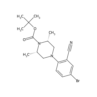 C[C@@H]1CN(c2ccc(Br)cc2C#N)C[C@H](C)N1C(=O)OC(C)(C)C